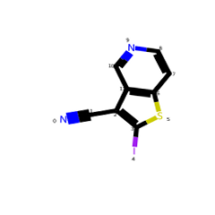 N#Cc1c(I)sc2ccncc12